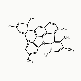 Cc1ccc2c3c(-c4c(C(C)C)cc(C(C)C)cc4C(C)C)cc4cc[n+](C)c5c6c(C)c(C)cc(C)c6n(c2c1)c3c45